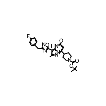 Cc1nn2c(C3CCN(C(=O)OC(C)(C)C)CC3)cc(=O)[nH]c2c1-c1nc(Cc2ccc(F)cc2)no1